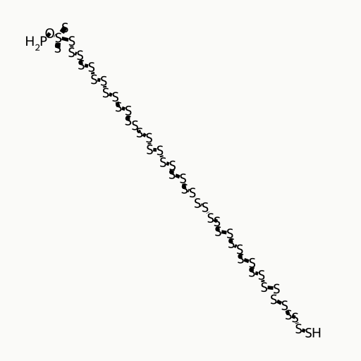 POS(=S)(=S)SSSSSSSSSSSSSSSSSSSSSSSSSSSSSSSSSSSSSSSSSSS